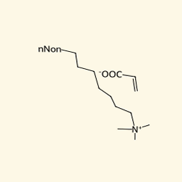 C=CC(=O)[O-].CCCCCCCCCCCCCCCC[N+](C)(C)C